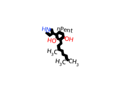 CCCCCc1cc(O)c(CC=C(C)CCC=C(C)C)c(O)c1-c1cc[nH]c1